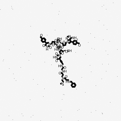 CN(C)CCN(CCC(=O)NCC(=O)NCC#Cc1cn([C@H]2C[C@H](OP(=O)(O)OC[C@H]3O[C@@H](n4cc(-c5ccc(C=O)cc5)c(=O)[nH]c4=O)C[C@@H]3OP(=O)(O)OC[C@H]3O[C@@H](n4cc(-c5ccc(C=O)cc5)c5c(N)ncnc54)C[C@@H]3O)[C@@H](COS)O2)c(=O)[nH]c1=O)C(=O)CCNCc1ccccc1